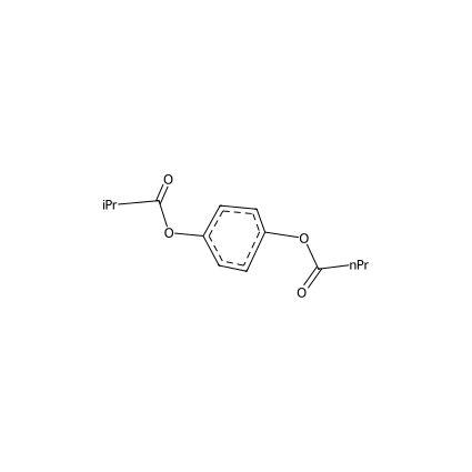 CCCC(=O)Oc1ccc(OC(=O)C(C)C)cc1